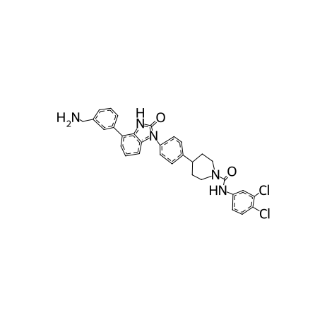 NCc1cccc(-c2cccc3c2[nH]c(=O)n3-c2ccc(C3CCN(C(=O)Nc4ccc(Cl)c(Cl)c4)CC3)cc2)c1